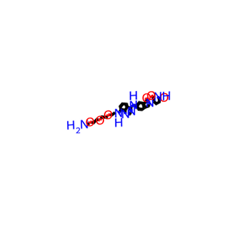 NCOCCOCCOCCNc1cccc2c(Nc3ccc4c(c3)C(=O)N(C3CCC(=O)NC3=O)C4)ncnc12